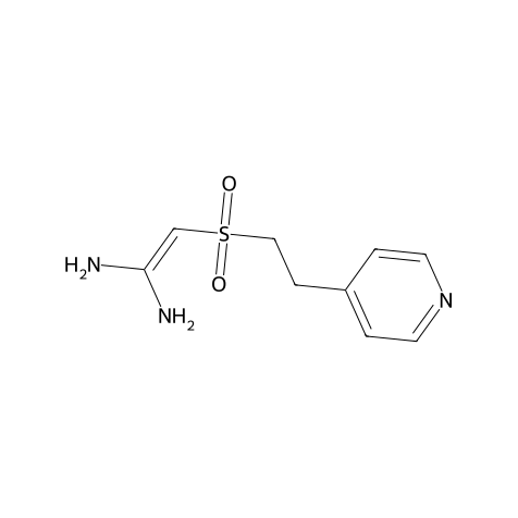 NC(N)=CS(=O)(=O)CCc1ccncc1